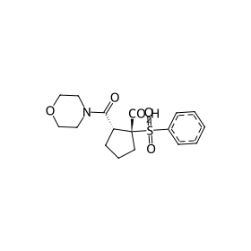 O=C([C@H]1CCC[C@@]1(C(=O)O)S(=O)(=O)c1ccccc1)N1CCOCC1